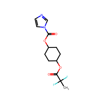 CC(F)(F)C(=O)OC1CCC(OC(=O)n2ccnc2)CC1